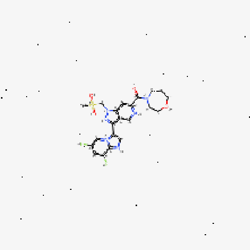 CCS(=O)(=O)Cn1nc(-c2cnc3c(F)cc(F)cn23)c2cnc(C(=O)N3CCCOCC3)cc21